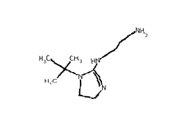 CC(C)(C)N1CCN=C1NCCN